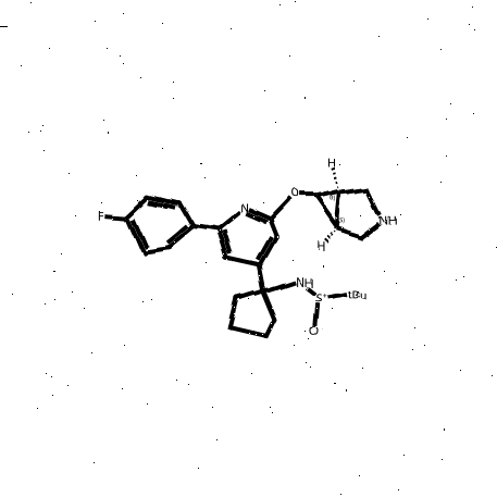 CC(C)(C)[S+]([O-])NC1(c2cc(OC3[C@H]4CNC[C@@H]34)nc(-c3ccc(F)cc3)c2)CCCC1